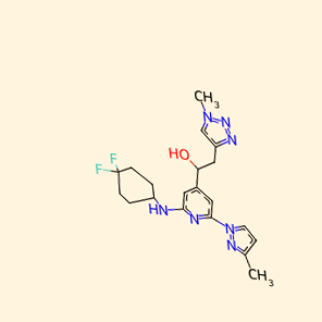 Cc1ccn(-c2cc(C(O)Cc3cn(C)nn3)cc(NC3CCC(F)(F)CC3)n2)n1